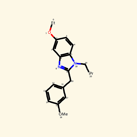 CCOc1ccc2c(c1)nc(Cc1cccc(OC)c1)n2CC(C)C